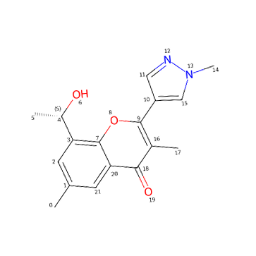 Cc1cc([C@H](C)O)c2oc(-c3cnn(C)c3)c(C)c(=O)c2c1